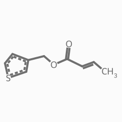 CC=CC(=O)OCc1ccsc1